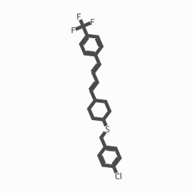 FC(F)(F)c1ccc(C=CC=CC2CCC(SCc3ccc(Cl)cc3)CC2)cc1